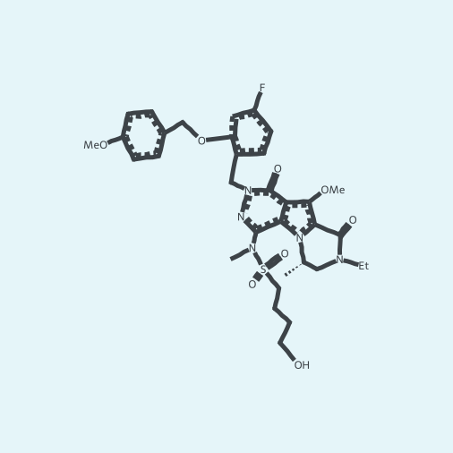 CCN1C[C@H](C)n2c(c(OC)c3c(=O)n(Cc4ccc(F)cc4OCc4ccc(OC)cc4)nc(N(C)S(=O)(=O)CCCCO)c32)C1=O